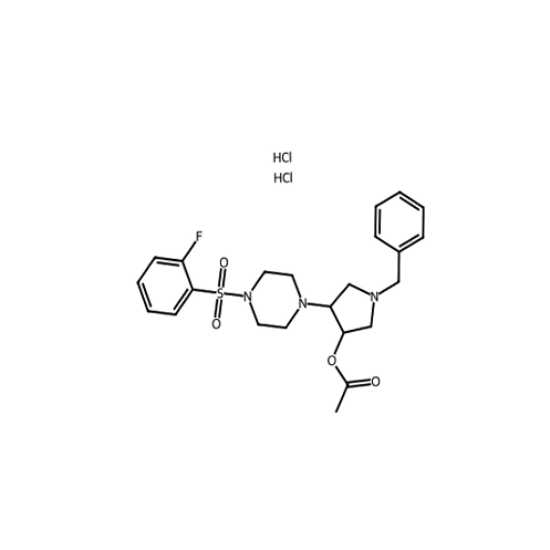 CC(=O)OC1CN(Cc2ccccc2)CC1N1CCN(S(=O)(=O)c2ccccc2F)CC1.Cl.Cl